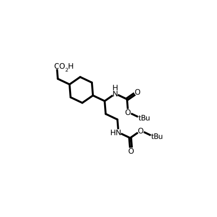 CC(C)(C)OC(=O)NCCC(NC(=O)OC(C)(C)C)C1CCC(CC(=O)O)CC1